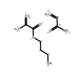 C=C(C)C(=O)OCCCO.C=CC(N)=O